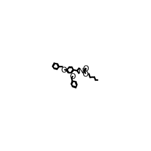 CCCCCOC(=O)N1CC(c2ccc(OCc3ccccc3)cc2OCc2ccccc2)C1